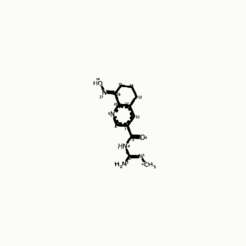 CN=C(N)NC(=O)c1cnc2c(c1)CCCC2=NO